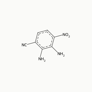 N#Cc1ccc([N+](=O)[O-])c(N)c1N